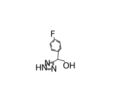 OCC(c1ccc(F)cc1)c1nc[nH]n1